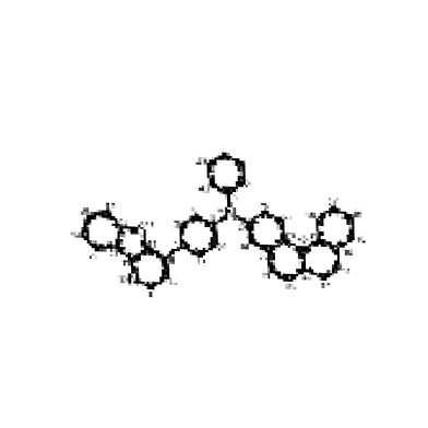 c1ccc(N(c2ccc(-c3ccnc4c3sc3ccccc34)cc2)c2ccc3c(ccc4ccc5ccccc5c43)c2)cc1